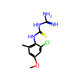 COc1cc(C)c(NC(=S)NC(=N)N)c(Cl)c1